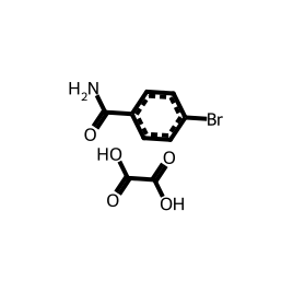 NC(=O)c1ccc(Br)cc1.O=C(O)C(=O)O